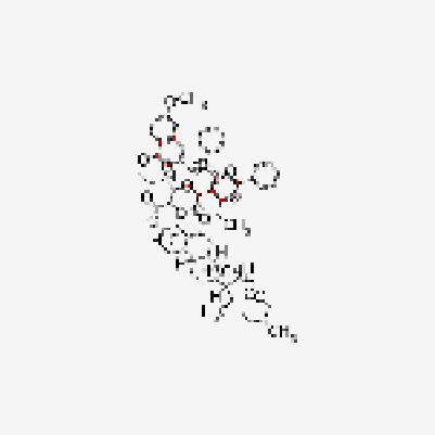 COc1ccc(C2OCC3O[C@@H](O[C@H]4CC[C@@]5(C)C(=CC[C@H]6[C@@H]7C[C@@H]8O[C@]9(CC[C@@H](C)CO9)[C@@H](C)[C@@H]8[C@@]7(C)CC[C@@H]65)C4)[C@@H](OC4OC(C)C(OC(=O)c5ccccc5)C(OC(=O)c5ccccc5)C4OC(=O)c4ccccc4)C(OC(=O)c4ccccc4)[C@@H]3O2)cc1